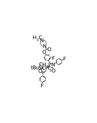 CN1CCN(C(=O)Oc2ccc([C@@H]3[C@@H](CC[C@H](O[Si](C)(C)C(C)(C)C)c4ccc(F)cc4)C(=O)N3c3ccc(F)cc3)c(F)c2)CC1